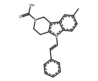 Cc1ccc2c(c1)c1c(n2/C=C/c2ccccc2)CCN(C(=O)O)C1